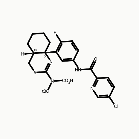 CC(C)(C)N(C(=O)O)C1=N[C@@]2(c3cc(NC(=O)c4ccc(Cl)cn4)ccc3F)CCCC[C@H]2CS1